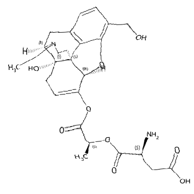 C[C@H](OC(=O)[C@@H](N)CC(=O)O)C(=O)OC1=CC[C@@]2(O)[C@H]3Cc4ccc(CO)c5c4[C@@]2(CCN3C)[C@H]1O5